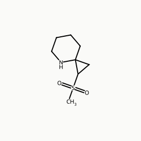 CS(=O)(=O)C1CC12CCCCN2